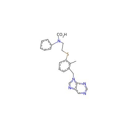 Cc1c(Cn2cnc3cncnc32)cccc1SCCN(C(=O)O)c1ccccc1